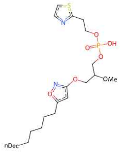 CCCCCCCCCCCCCCCc1cc(OCC(COP(=O)(O)OCCc2nccs2)OC)no1